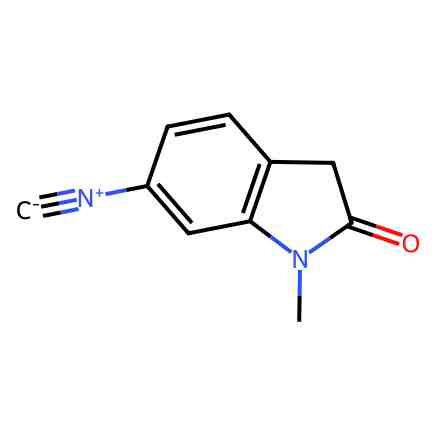 [C-]#[N+]c1ccc2c(c1)N(C)C(=O)C2